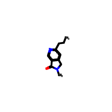 CCCc1cc2c(cn1)C(=O)N(C)C2